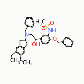 CCc1cc2c(cc1CC)CC(N(Cc1ccccc1)CC(O)c1ccc(OCc3ccccc3)c(NS(C)(=O)=O)c1)C2